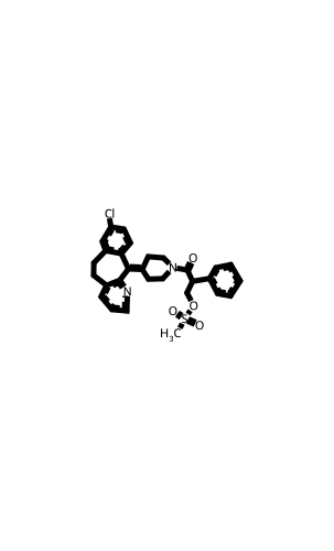 CS(=O)(=O)OCC(C(=O)N1CCC(=C2c3ccc(Cl)cc3CCc3cccnc32)CC1)c1ccccc1